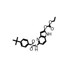 CCOC(=O)Oc1cc2nc(NS(=O)(=O)c3ccc(C(C)(C)C)cc3)ccc2[nH]1